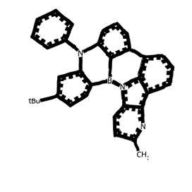 Cc1ccc2c(n1)c1cccc3c1n2B1c2ccc(C(C)(C)C)cc2N(c2ccccc2)c2cccc-3c21